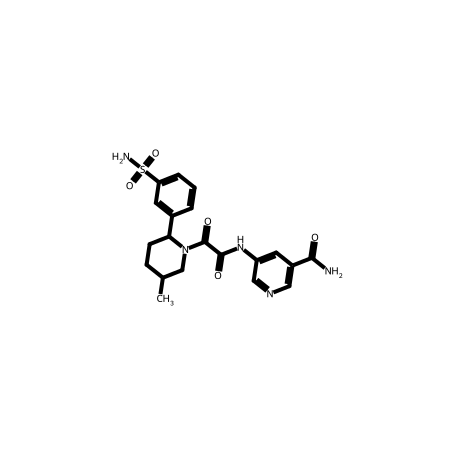 CC1CCC(c2cccc(S(N)(=O)=O)c2)N(C(=O)C(=O)Nc2cncc(C(N)=O)c2)C1